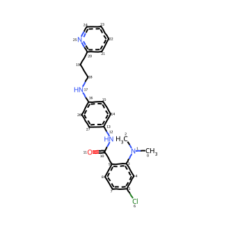 CN(C)c1cc(Cl)ccc1C(=O)Nc1ccc(NCCc2ccccn2)cc1